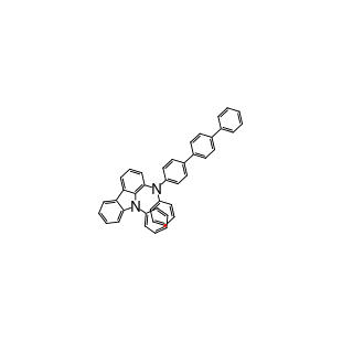 c1ccc(-c2ccc(-c3ccc(N(c4ccccc4)c4cccc5c6ccccc6n(-c6ccccc6)c45)cc3)cc2)cc1